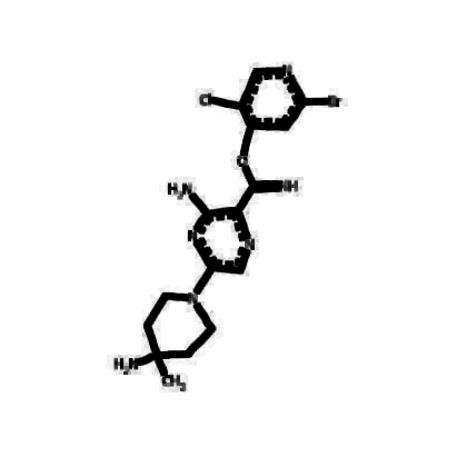 CC1(N)CCN(c2cnc(C(=N)Oc3cc(Br)ncc3Cl)c(N)n2)CC1